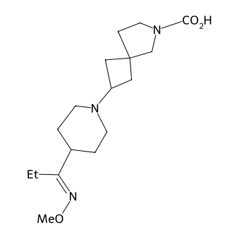 CCC(=NOC)C1CCN(C2CC3(CCN(C(=O)O)C3)C2)CC1